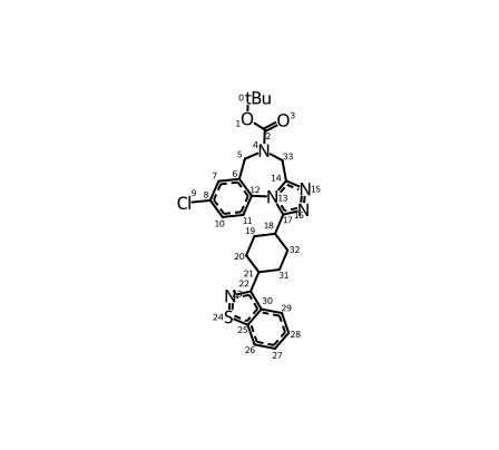 CC(C)(C)OC(=O)N1Cc2cc(Cl)ccc2-n2c(nnc2C2CCC(c3nsc4ccccc34)CC2)C1